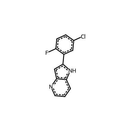 Fc1ccc(Cl)cc1-c1cc2ncccc2[nH]1